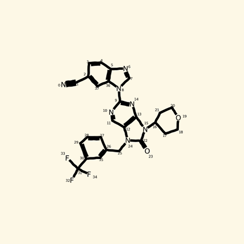 N#Cc1ccc2ncn(-c3ncc4c(n3)n(C3CCOCC3)c(=O)n4Cc3cccc(C(F)(F)F)c3)c2c1